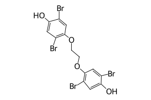 Oc1cc(Br)c(OCCOc2cc(Br)c(O)cc2Br)cc1Br